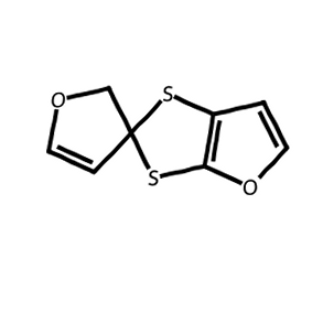 C1=CC2(CO1)Sc1ccoc1S2